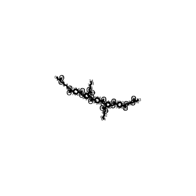 C=CC(=O)OCCCCOC(=O)C1CCC(C(=O)Oc2ccc(OC(=O)C3CCC(C(=O)Oc4ccc(OC(=O)C5CCC(C(=O)OCCOC(=O)C=C)CC5)cc4C(=O)OCCCC)CC3)c(C(=O)OCCCC)c2)CC1